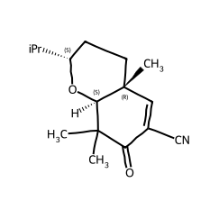 CC(C)[C@@H]1CC[C@]2(C)C=C(C#N)C(=O)C(C)(C)[C@H]2O1